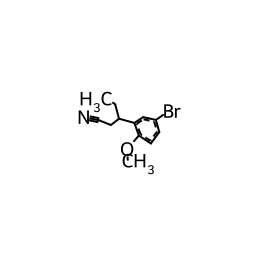 CCC(CC#N)c1cc(Br)ccc1OC